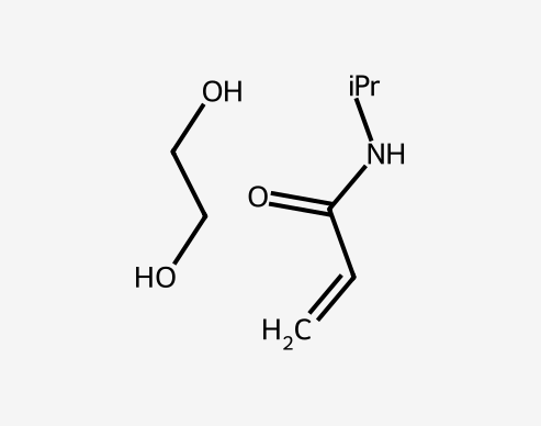 C=CC(=O)NC(C)C.OCCO